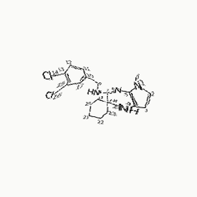 Cn1ccc2c1N=C(NCc1ccc(Cl)c(Cl)c1)C1(CCCCC1)N2